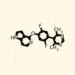 Cc1ncnc(C)c1-c1cc(F)c(Oc2nccc3[nH]ccc23)cc1F